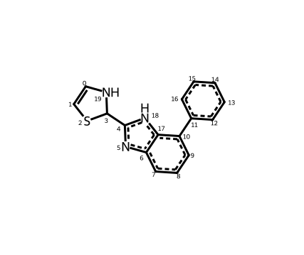 C1=CSC(c2nc3cccc(-c4ccccc4)c3[nH]2)N1